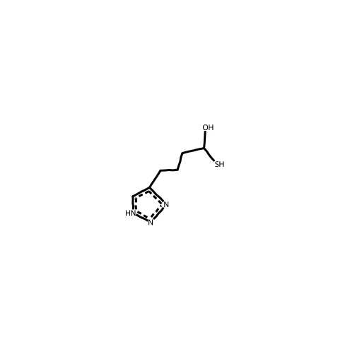 OC(S)CCCc1c[nH]nn1